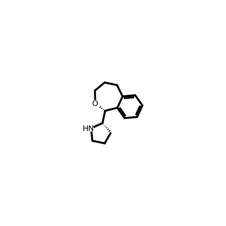 c1ccc2c(c1)CCCO[C@H]2[C@@H]1CCCN1